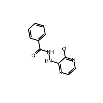 O=C(NNc1nccnc1Cl)c1ccccc1